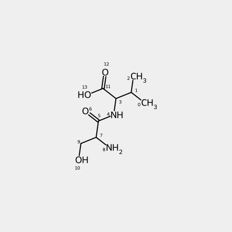 CC(C)C(NC(=O)C(N)CO)C(=O)O